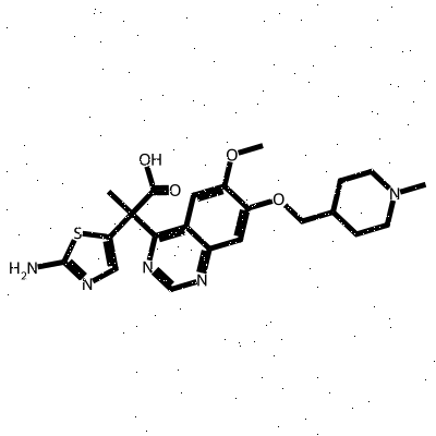 COc1cc2c(C(C)(C(=O)O)c3cnc(N)s3)ncnc2cc1OCC1CCN(C)CC1